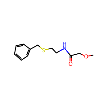 [CH2]OCC(=O)NCCSCc1cc[c]cc1